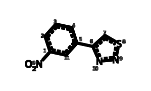 O=[N+]([O-])c1cccc(-c2csnn2)c1